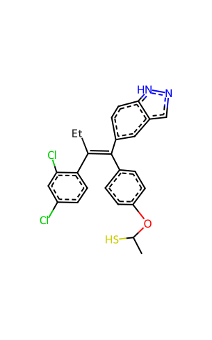 CC/C(=C(/c1ccc(OC(C)S)cc1)c1ccc2[nH]ncc2c1)c1ccc(Cl)cc1Cl